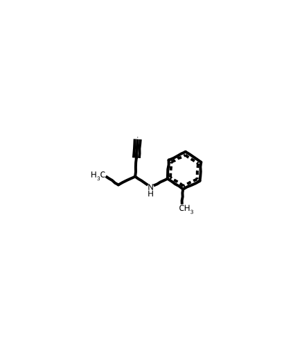 [C]#CC(CC)Nc1ccccc1C